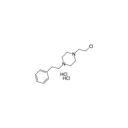 Cl.Cl.ClCCN1CCN(CCc2ccccc2)CC1